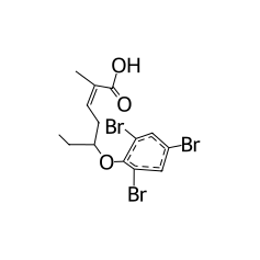 CCC(CC=C(C)C(=O)O)Oc1c(Br)cc(Br)cc1Br